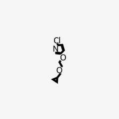 Clc1ccc(OCCOCC2CC2)cn1